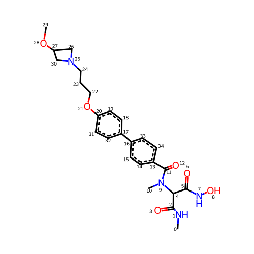 CNC(=O)C(C(=O)NO)N(C)C(=O)c1ccc(-c2ccc(OCCCN3CC(OC)C3)cc2)cc1